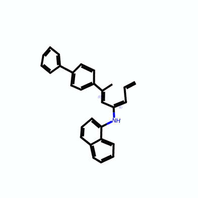 C=C/C=C(\C=C(/C)c1ccc(-c2ccccc2)cc1)Nc1cccc2ccccc12